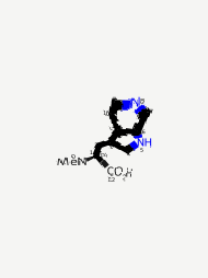 CN[C@@H](Cc1c[nH]c2cnccc12)C(=O)O